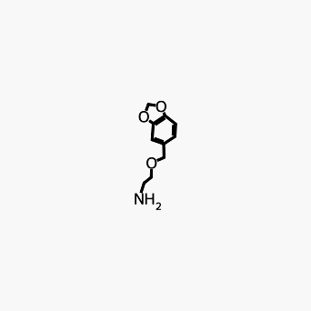 NCCOCc1ccc2c(c1)OCO2